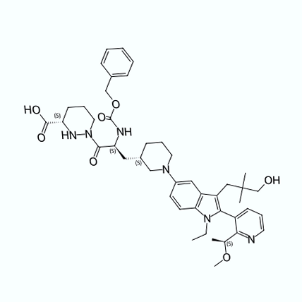 CCn1c(-c2cccnc2[C@H](C)OC)c(CC(C)(C)CO)c2cc(N3CCC[C@@H](C[C@H](NC(=O)OCc4ccccc4)C(=O)N4CCC[C@@H](C(=O)O)N4)C3)ccc21